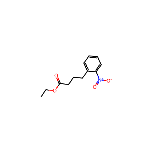 CCOC(=O)CCCc1ccccc1[N+](=O)[O-]